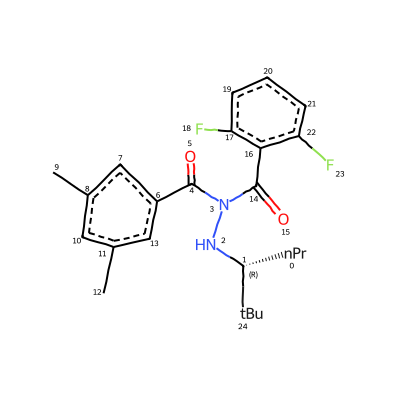 CCC[C@@H](NN(C(=O)c1cc(C)cc(C)c1)C(=O)c1c(F)cccc1F)C(C)(C)C